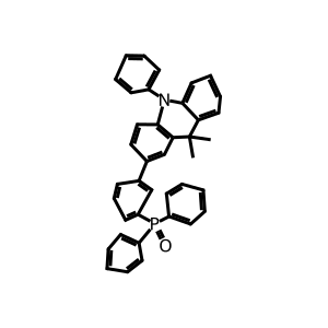 CC1(C)c2ccccc2N(c2ccccc2)c2ccc(-c3cccc(P(=O)(c4ccccc4)c4ccccc4)c3)cc21